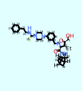 CC[C@@H]1[C@H](CO)ON(Cc2cccc(N3CCN(C(=S)NCCc4ccccc4)CC3)c2)[C@@H]1C(=O)N[C@H]1C[C@H]2C[C@@H]([C@@H]1C)C2(C)C